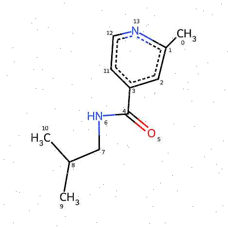 Cc1cc(C(=O)NCC(C)C)ccn1